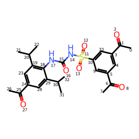 CC(=O)c1cc(C(C)=O)cc(S(=O)(=O)NC(=O)Nc2c(C(C)C)cc(C(C)=O)cc2C(C)C)c1